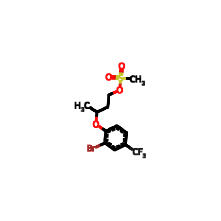 CC(CCOS(C)(=O)=O)Oc1ccc(C(F)(F)F)cc1Br